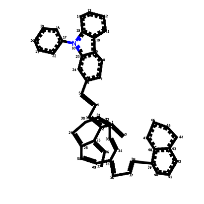 C=CC(=C\C=C\c1ccc2c3ccccc3n(-c3ccccc3)c2c1)/C(=C/C)C1=C\C/C=C\C=C\C(=C/C=C/c2cccc3ccccc23)/C=C\1